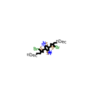 CCCCCCCCCCCCc1cc(-c2c3nnsc3c(-c3cc(CCCCCCCCCCCC)c(Br)s3)c3nnsc23)sc1Br